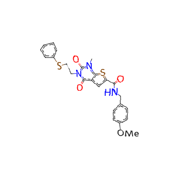 COc1ccc(CNC(=O)c2cc3c(=O)n(CCSc4ccccc4)c(=O)n(C)c3s2)cc1